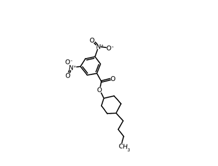 CCCCC1CCC(OC(=O)c2cc([N+](=O)[O-])cc([N+](=O)[O-])c2)CC1